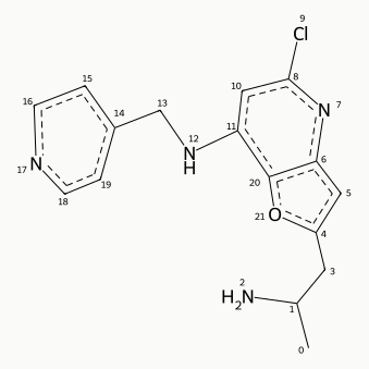 CC(N)Cc1cc2nc(Cl)cc(NCc3ccncc3)c2o1